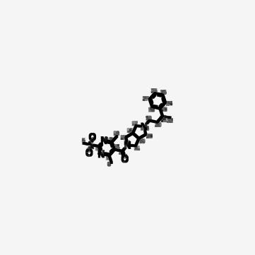 Cc1nc(S(C)(=O)=O)nc(C)c1C(=O)N1CC2CN(CC[C@H](C)c3ccccc3)CC2C1